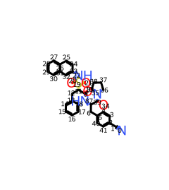 N#Cc1ccc(CC(NC(=O)C(Cc2ccccc2)S(=O)(=O)Nc2ccc3ccccc3c2)C(=O)N2CCCC2)cc1